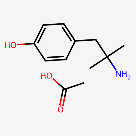 CC(=O)O.CC(C)(N)Cc1ccc(O)cc1